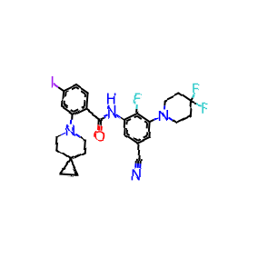 N#Cc1cc(NC(=O)c2ccc(I)cc2N2CCC3(CC2)CC3)c(F)c(N2CCC(F)(F)CC2)c1